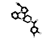 N#Cc1ccc2n1-c1ccccc1OC21CCN(C(=O)c2ccc(F)c(Cl)c2)CC1